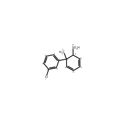 CC1(c2cccc(Cl)c2)C=CC=CC1S(=O)(=O)O